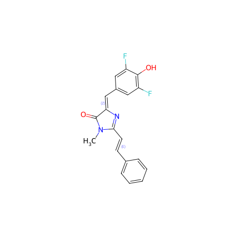 CN1C(=O)/C(=C/c2cc(F)c(O)c(F)c2)N=C1/C=C/c1ccccc1